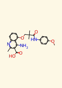 COc1ccc(NC(=O)C(C)(C)COc2cccc3nc(C)c(C(=O)O)c(N)c23)cc1